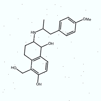 COc1ccc(CC(C)NC2CCc3c(ccc(O)c3CO)C2O)cc1